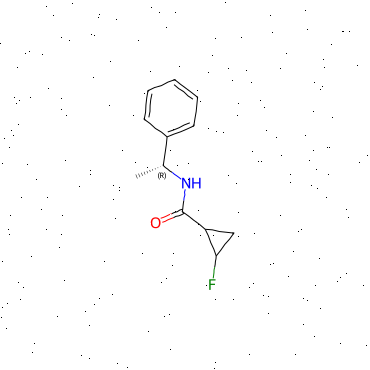 C[C@@H](NC(=O)C1CC1F)c1ccccc1